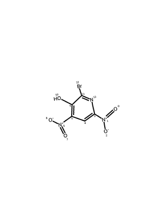 O=[N+]([O-])c1cc([N+](=O)[O-])c(O)c(Br)n1